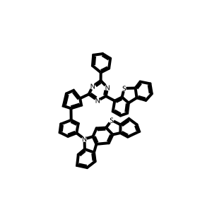 c1ccc(-c2nc(-c3cccc(-c4cccc(-n5c6ccccc6c6cc7c(cc65)sc5ccccc57)c4)c3)nc(-c3cccc4c3sc3ccccc34)n2)cc1